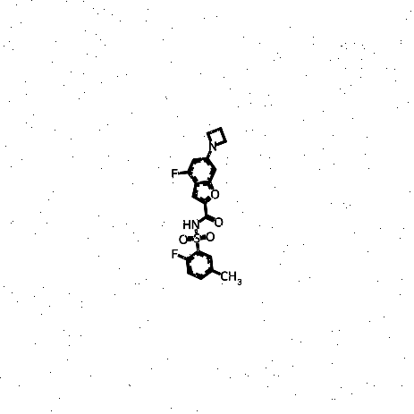 Cc1ccc(F)c(S(=O)(=O)NC(=O)c2cc3c(F)cc(N4CCC4)cc3o2)c1